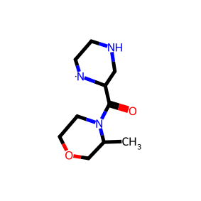 CC1COCCN1C(=O)C1CNCC[N]1